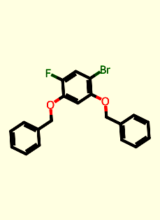 Fc1cc(Br)c(OCc2ccccc2)cc1OCc1ccccc1